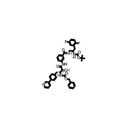 CC(C)(C)OC(=O)NC(CNC(=O)c1cccc(NC(=O)[C@@H](O)[C@@H](Cc2ccc(-c3cccnc3)cc2)NC(=O)OCc2ccccc2)c1)Cc1cc(F)ccc1F